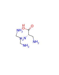 NCCCN.NC[C@H](N)C(=O)O